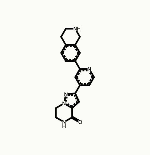 O=C1NCCn2nc(-c3ccnc(-c4ccc5c(c4)CNCC5)c3)cc21